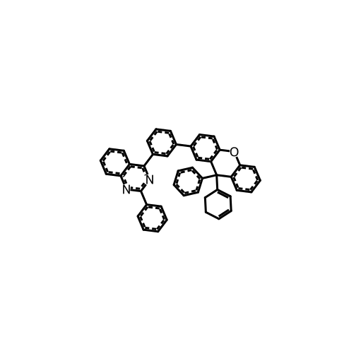 C1=CCCC(C2(c3ccccc3)c3ccccc3Oc3ccc(-c4cccc(-c5nc(-c6ccccc6)nc6ccccc56)c4)cc32)=C1